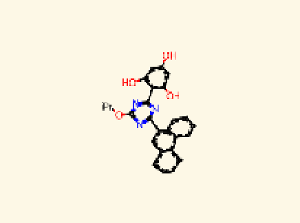 CC(C)Oc1nc(-c2c(O)cc(O)cc2O)nc(-c2cc3ccccc3c3ccccc23)n1